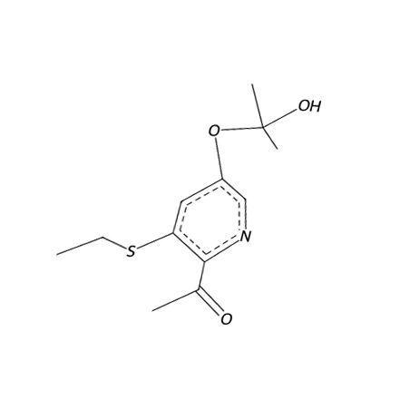 CCSc1cc(OC(C)(C)O)cnc1C(C)=O